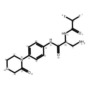 NC[C@H](NC(=O)C(F)F)C(=O)Nc1ccc(N2CCOCC2=O)cc1